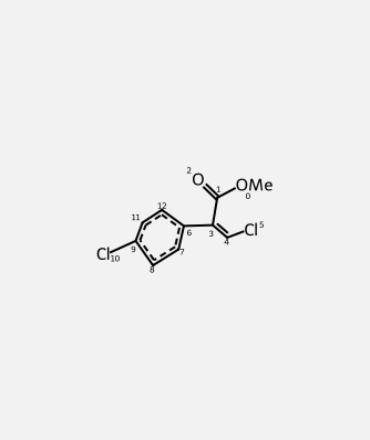 COC(=O)C(=CCl)c1ccc(Cl)cc1